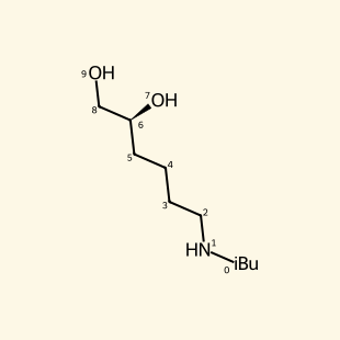 CCC(C)NCCCC[C@H](O)CO